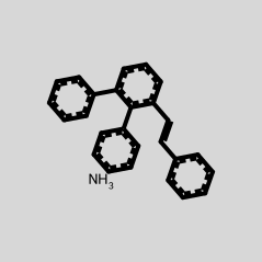 C(=Cc1cccc(-c2ccccc2)c1-c1ccccc1)c1ccccc1.N